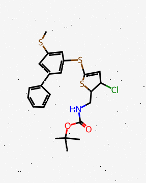 CSc1cc(SC2=CC(Cl)C(CNC(=O)OC(C)(C)C)S2)cc(-c2ccccc2)c1